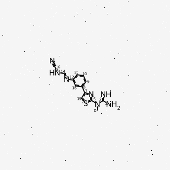 CN(C(=N)N)c1nc(-c2cccc(N=CNC#N)c2)cs1